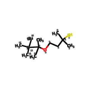 CC(C)(S)CCOC(C)(C)[Si](C)(C)C(C)(C)C